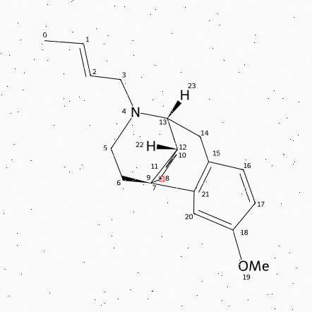 C/C=C/CN1CC[C@]23CCCC[C@H]2[C@H]1Cc1ccc(OC)cc13